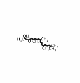 C/C(=C\C(=O)OCC(C)O)CCCC(C)CCCC(C)CCCC(C)C